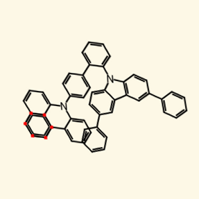 c1ccc(-c2ccc3c(c2)c2cc(-c4ccccc4)ccc2n3-c2ccccc2-c2ccc(N(c3ccccc3-c3ccccc3)c3cccc4ccccc34)cc2)cc1